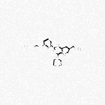 COCOc1cccc(-c2nc(N3CCOCC3)c3ncc(CC#N)cc3n2)c1